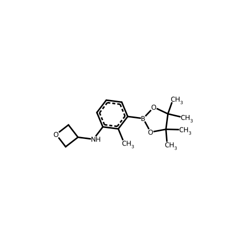 Cc1c(NC2COC2)cccc1B1OC(C)(C)C(C)(C)O1